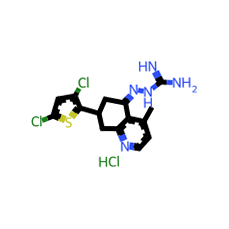 Cc1ccnc2c1/C(=N\NC(=N)N)CC(c1sc(Cl)cc1Cl)C2.Cl